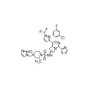 CC1C[C@@](O)(Cn2ccnc2)CCN1S(=O)(=O)N[C@H]1CC2=C(c3ccn(C(F)F)n3)[C@H](c3ccc(F)cc3Cl)N=C(c3nccs3)N2C1